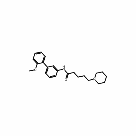 COc1ccccc1-c1cccc(NC(=O)CCCCN2CCCCC2)c1